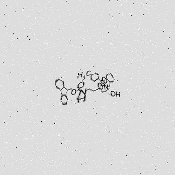 Cc1ccc(S(=O)(=O)N(Cc2ccccc2)[C@H](CO)CCCCNC(=O)OCC2c3ccccc3-c3ccccc32)cc1